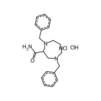 Cl.Cl.NC(=O)C1CN(Cc2ccccc2)CCCN1Cc1ccccc1